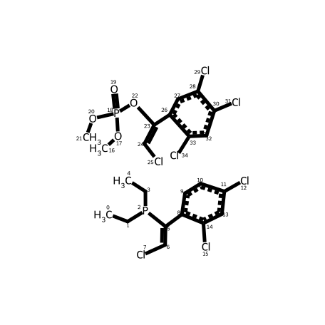 CCP(CC)/C(=C\Cl)c1ccc(Cl)cc1Cl.COP(=O)(OC)O/C(=C/Cl)c1cc(Cl)c(Cl)cc1Cl